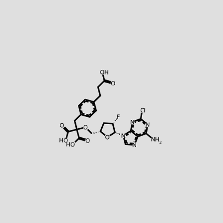 Nc1nc(Cl)nc2c1ncn2[C@@H]1O[C@H](COC(Cc2ccc(CCC(=O)O)cc2)(C(=O)O)C(=O)O)C[C@@H]1F